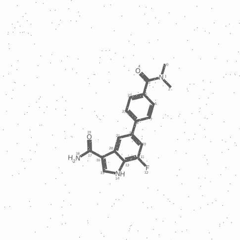 CN(C)C(=O)c1ccc(-c2cc(F)c3[nH]cc(C(N)=O)c3c2)cc1